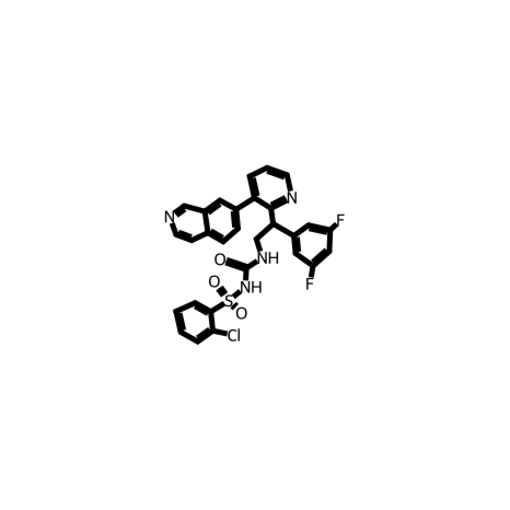 O=C(NCC(c1cc(F)cc(F)c1)c1ncccc1-c1ccc2ccncc2c1)NS(=O)(=O)c1ccccc1Cl